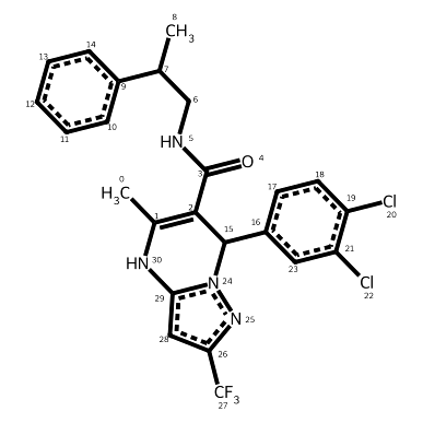 CC1=C(C(=O)NCC(C)c2ccccc2)C(c2ccc(Cl)c(Cl)c2)n2nc(C(F)(F)F)cc2N1